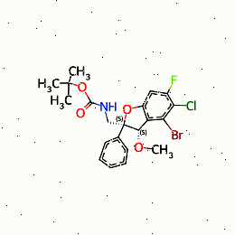 CO[C@H]1c2c(cc(F)c(Cl)c2Br)O[C@]1(CNC(=O)OC(C)(C)C)c1ccccc1